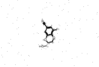 N#Cc1cc(F)c2c(c1)O[C@@H](CO)CO2